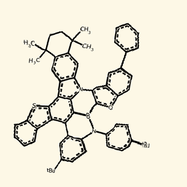 CC(C)(C)c1ccc(N2B3c4oc5ccc(-c6ccccc6)cc5c4-n4c5cc6c(cc5c5c7sc8ccccc8c7c(c3c54)-c3cc(C(C)(C)C)ccc32)C(C)(C)CCC6(C)C)cc1